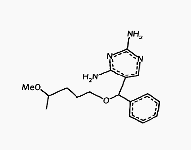 COC(C)CCCOC(c1ccccc1)c1cnc(N)nc1N